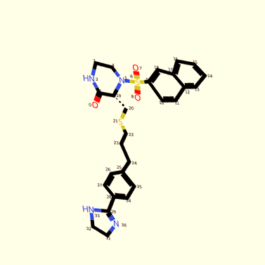 O=C1NCCN(S(=O)(=O)c2ccc3ccccc3c2)[C@@H]1CSCCCc1ccc(C2=NCCN2)cc1